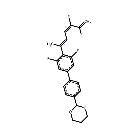 C=C(F)/C(F)=C\C=C(/C)c1c(F)cc(-c2ccc(C3OCCCO3)cc2)cc1F